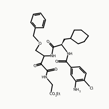 CCOC(=O)CNC(=O)C(=O)C(COCc1ccccc1)NC(=O)[C@@H](CC1CCCCC1)NC(=O)c1ccc(Cl)c(N)c1